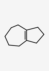 C1CCC2=C(CC1)CCC2